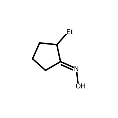 CCC1CCCC1=NO